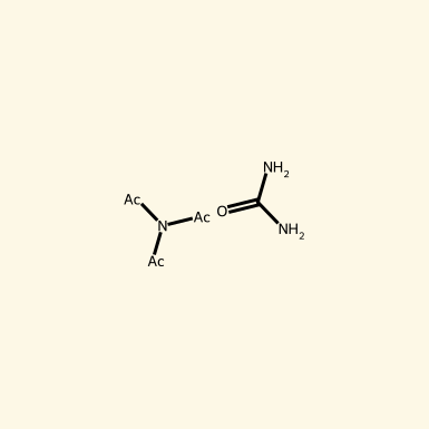 CC(=O)N(C(C)=O)C(C)=O.NC(N)=O